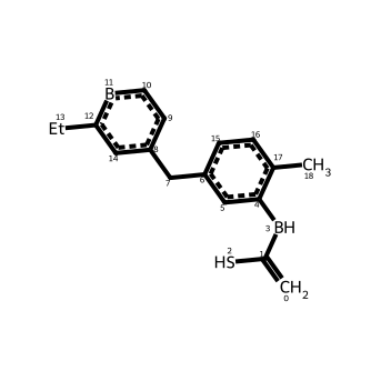 C=C(S)Bc1cc(Cc2ccbc(CC)c2)ccc1C